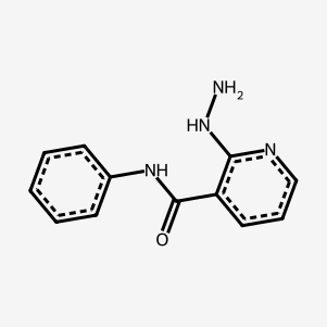 NNc1ncccc1C(=O)Nc1ccccc1